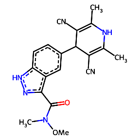 [C-]#[N+]C1=C(C)NC(C)=C(C#N)C1c1ccc2[nH]nc(C(=O)N(C)OC)c2c1